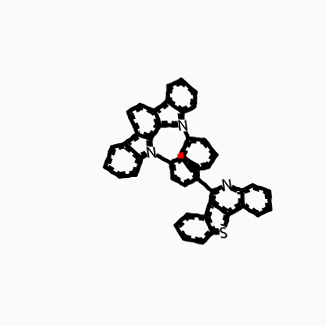 c1ccc(-n2c3ccccc3c3ccc4c5ccccc5n(-c5ccc(-c6nc7ccccc7c7sc8ccccc8c67)cc5)c4c32)cc1